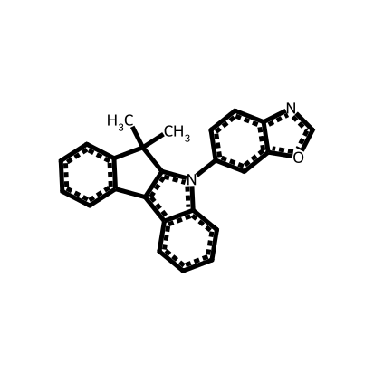 CC1(C)c2ccccc2-c2c1n(-c1ccc3ncoc3c1)c1ccccc21